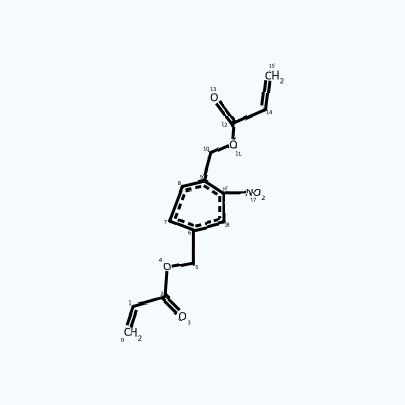 C=CC(=O)OCc1ccc(COC(=O)C=C)c([N+](=O)[O-])c1